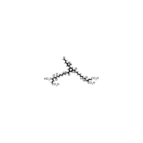 O=C(O)CC[C@H](NC(=O)NCCCCCNC(=O)c1cc(C(=O)NCCCCCNC(=O)N[C@@H](CCC(=O)O)C(=O)O)cc(-n2cc(CCCF)nn2)c1)C(=O)O